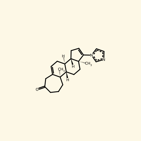 C[C@]12CCCC(=O)CC1=CC[C@@H]1[C@@H]2CC[C@]2(C)C(n3ccnc3)=CC[C@@H]12